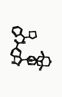 O=C(N[C@@H](c1ccccn1)C1CCCC1)c1ccc2[nH]nc(-c3ccc(N4[C@@H]5COC[C@H]4CC(O)C5)cc3)c2c1